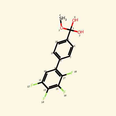 OC(O)(O[SiH3])c1ccc(-c2cc(F)c(F)c(F)c2F)cc1